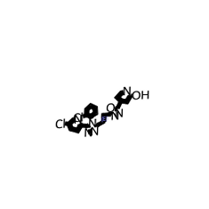 Oc1cc(-c2nnc(/C=C/c3nnc(-c4ccc(Cl)cn4)n3-c3ccccc3Cl)o2)ccn1